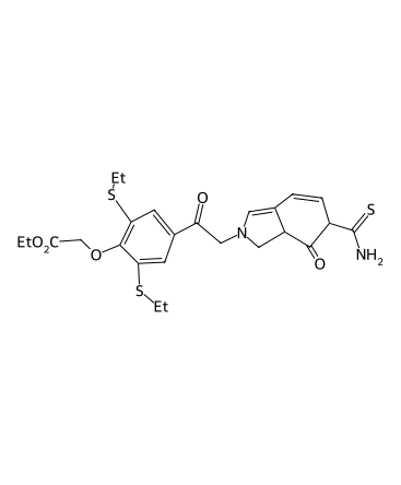 CCOC(=O)COc1c(SCC)cc(C(=O)CN2C=C3C=CC(C(N)=S)C(=O)C3C2)cc1SCC